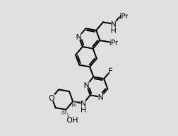 CC(C)NCc1cnc2ccc(-c3nc(N[C@@H]4CCOC[C@H]4O)ncc3F)cc2c1C(C)C